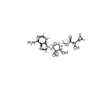 Nc1ncnc2c1ncn2[C@@H]1O[C@H](COC(=O)N(O)C2CC2)[C@@H](O)[C@H]1O